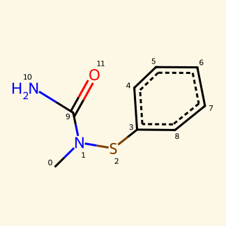 CN(Sc1ccccc1)C(N)=O